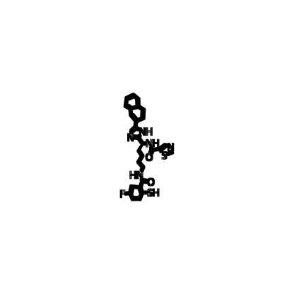 O=C(N[C@@H](CCCCNC(=O)c1cc(F)ccc1S)c1ncc(-c2ccc3ccccc3c2)[nH]1)c1cncs1